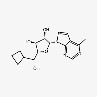 Cc1ncnc2c1ccn2[C@@H]1O[C@H]([C@H](O)C2CCC2)[C@@H](O)[C@H]1O